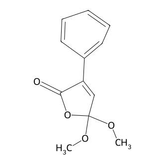 COC1(OC)C=C(c2ccccc2)C(=O)O1